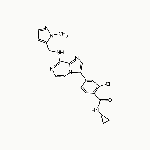 Cn1nccc1CNc1nccn2c(-c3ccc(C(=O)NC4CC4)c(Cl)c3)cnc12